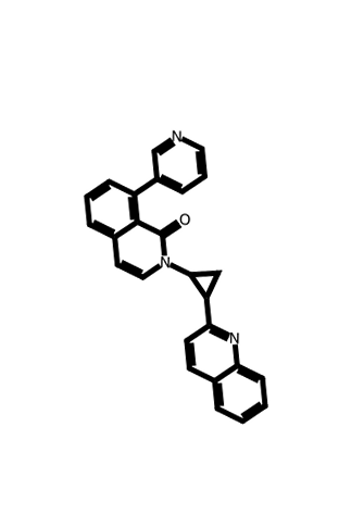 O=c1c2c(-c3cccnc3)cccc2ccn1C1CC1c1ccc2ccccc2n1